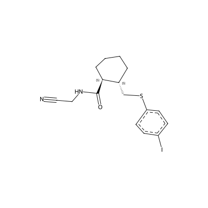 N#CCNC(=O)[C@H]1CCCC[C@@H]1CSc1ccc(I)cc1